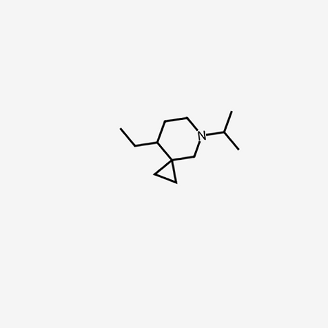 CCC1CCN(C(C)C)CC12CC2